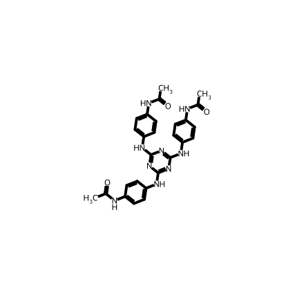 CC(=O)Nc1ccc(Nc2nc(Nc3ccc(NC(C)=O)cc3)nc(Nc3ccc(NC(C)=O)cc3)n2)cc1